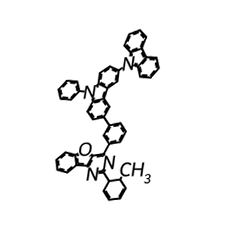 CC1C=CC=CC1c1nc(-c2cccc(-c3ccc4c(c3)c3cc(-n5c6ccccc6c6ccccc65)ccc3n4-c3ccccc3)c2)c2oc3ccccc3c2n1